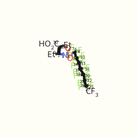 CCC(NS(=O)(=O)C(F)(F)C(F)(F)C(F)(F)C(F)(F)C(F)(F)C(F)(F)C(F)(F)C(F)(F)F)=C(CC)C(=O)O